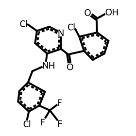 O=C(O)c1cccc(C(=O)c2ncc(Cl)cc2NCc2ccc(Cl)c(C(F)(F)F)c2)c1Cl